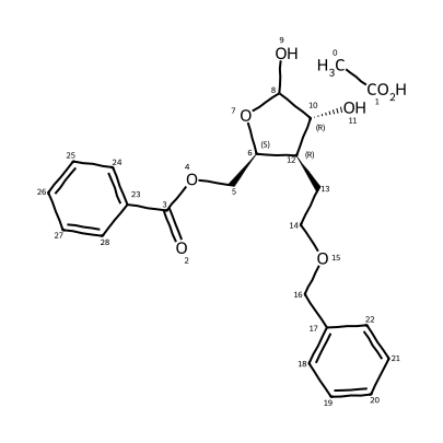 CC(=O)O.O=C(OC[C@H]1OC(O)[C@H](O)[C@H]1CCOCc1ccccc1)c1ccccc1